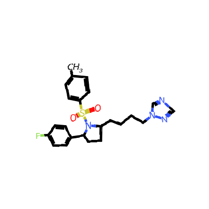 Cc1ccc(S(=O)(=O)N2C(CCCCn3cncn3)CCC2c2ccc(F)cc2)cc1